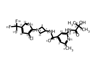 Cc1cc(C(=O)NC2CN(c3ncc(C(F)(F)F)cc3Cl)C2)cc(NC(=O)C(C)(C)O)n1